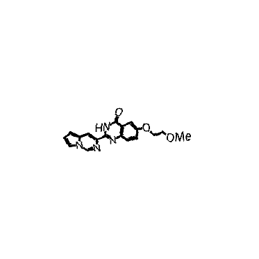 COCCOc1ccc2nc(-c3cc4cccn4cn3)[nH]c(=O)c2c1